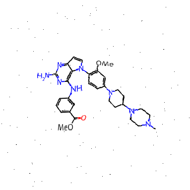 COC(=O)c1cccc(Nc2nc(N)nc3ccn(-c4ccc(N5CCC(N6CCN(C)CC6)CC5)cc4OC)c23)c1